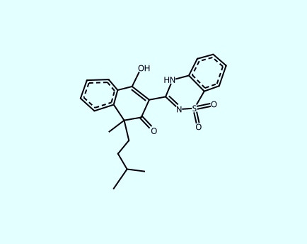 CC(C)CCC1(C)C(=O)C(C2=NS(=O)(=O)c3ccccc3N2)=C(O)c2ccccc21